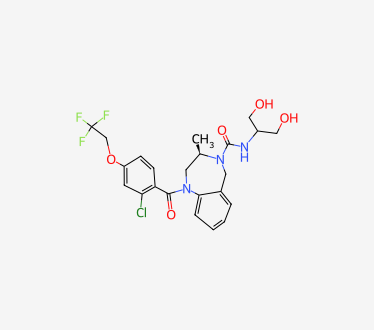 C[C@@H]1CN(C(=O)c2ccc(OCC(F)(F)F)cc2Cl)c2ccccc2CN1C(=O)NC(CO)CO